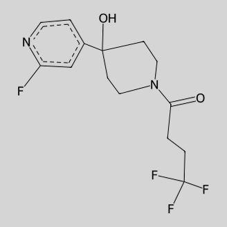 O=C(CCC(F)(F)F)N1CCC(O)(c2ccnc(F)c2)CC1